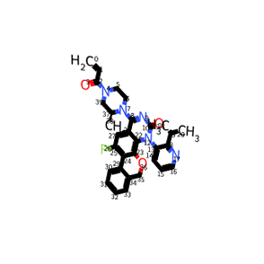 C=CC(=O)N1CCN(c2nc(=O)n(-c3cccnc3C(C)C)c3c4c(c(F)cc23)-c2ccccc2CO4)[C@@H](C)C1